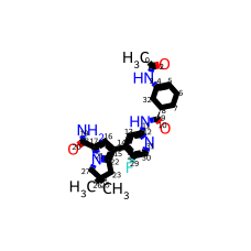 CC(=O)NC1=CCC[C@H](C(=O)Nc2cc(-c3cc(C(N)=O)n4c3CC(C)(C)C4)c(F)cn2)C1